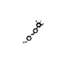 CCC[C@H]1CC[C@H](CCC2CCC(c3cc(F)c(F)c(F)c3)CC2)CC1